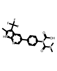 Cc1[nH]c2ncc(-c3ccc(N(C(=O)O)C(=O)N(C)C)cc3)cc2c1C(F)(F)F